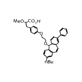 CCCCc1ccc2c(c1)C=Cc1cc(-c3ccccc3)ccc1C2OCCOc1ccc(CC(OC)C(=O)O)cc1